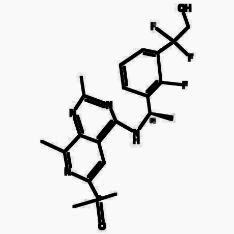 Cc1nc(N[C@H](C)c2cccc(C(F)(F)CO)c2F)c2cc(P(C)(C)=O)nc(C)c2n1